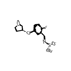 CC(C)(C)[S@@+]([O-])N=Cc1cc(O[C@H]2CCOC2)ccc1F